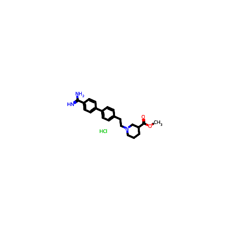 COC(=O)C1CCCN(CCc2ccc(-c3ccc(C(=N)N)cc3)cc2)C1.Cl